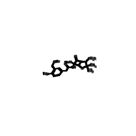 COCc1cc(CC(=O)NC2(OC)C(=O)N3C(C(=O)O)C(C)(C)SC32)ccc1O